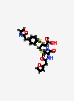 O=C(Cc1ccco1)N[C@@H]1C(=O)N2C(C(=O)O)=C(Sc3ccc(Cc4ncco4)cc3)CS[C@@H]12